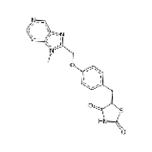 Cn1c(COc2ccc(CC3SC(=O)NC3=O)cc2)nc2cnccc21